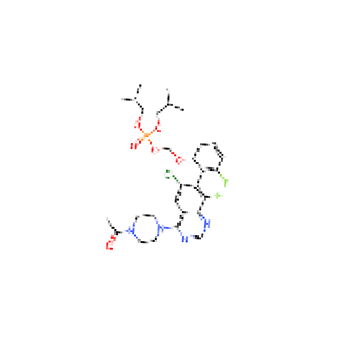 CC(=O)N1CCN(c2ncnc3c(F)c(C4=C(F)C=CCC4OCOP(=O)(OCC(C)C)OCC(C)C)c(Cl)cc23)CC1